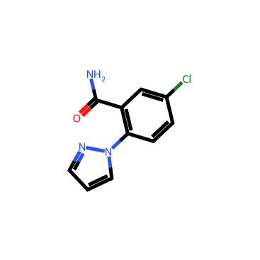 NC(=O)c1cc(Cl)ccc1-n1cccn1